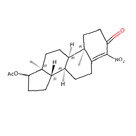 CC(=O)OC1CC[C@H]2[C@@H]3CCC4=C([N+](=O)[O-])C(=O)CC[C@]4(C)[C@@H]3CC[C@]12C